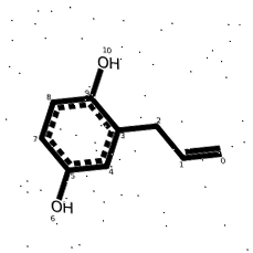 C=CCc1[c]c(O)ccc1O